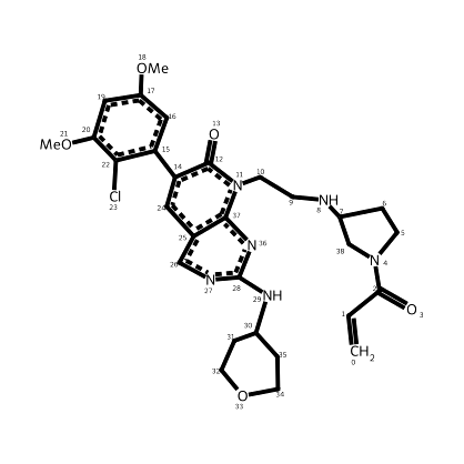 C=CC(=O)N1CCC(NCCn2c(=O)c(-c3cc(OC)cc(OC)c3Cl)cc3cnc(NC4CCOCC4)nc32)C1